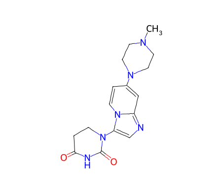 CN1CCN(c2ccn3c(N4CCC(=O)NC4=O)cnc3c2)CC1